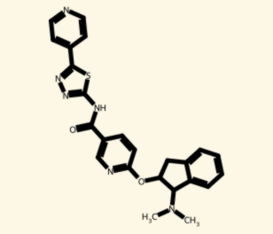 CN(C)C1c2ccccc2CC1Oc1ccc(C(=O)Nc2nnc(-c3ccncc3)s2)cn1